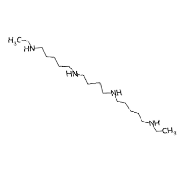 CCNCCCCCNCCCCNCCCCCNCC